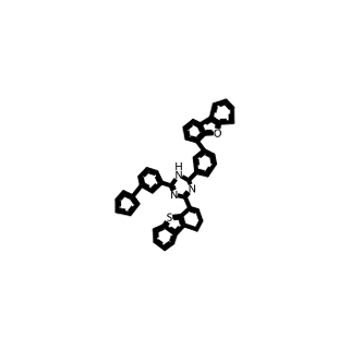 C1=C(C2=NC(c3cccc(-c4cccc5c4oc4ccccc45)c3)NC(c3cccc(-c4ccccc4)c3)=N2)c2sc3ccccc3c2CC1